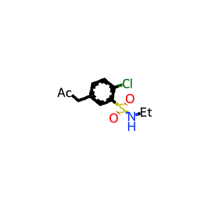 [CH2]CNS(=O)(=O)c1cc(CC(C)=O)ccc1Cl